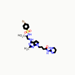 Cc1nc(NC[C@H](NS(=O)(=O)c2ccc(Br)cc2)C(=O)O)c2ccn(CCCC(=O)NC3=NCCCN3)c2n1